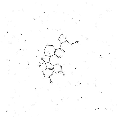 CC(C)C1=C(C(=O)N2CCCC2CO)C=CCC2=NC(C)(c3ccc(Cl)cc3)C(c3ccc(Cl)cc3)N21